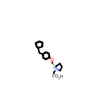 O=C(O)CN1CCC[C@H]1COc1ccc(Cc2ccccc2)cc1